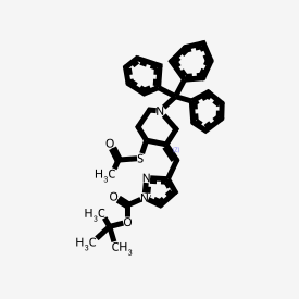 CC(=O)SC1CCN(C(c2ccccc2)(c2ccccc2)c2ccccc2)C/C1=C/c1ccn(C(=O)OC(C)(C)C)n1